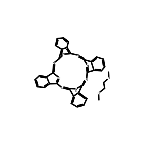 COCCOC.c1ccc2c(c1)-c1nc-2nc2[nH]c(nc3nc(nc4[nH]c(n1)c1ccccc41)-c1ccccc1-3)c1ccccc21